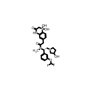 CN(C(=O)Cc1ccc2c(c1)NC(=O)CS2(O)O)[C@H](CN1CCC(O)C1)c1cccc(OC(F)F)c1